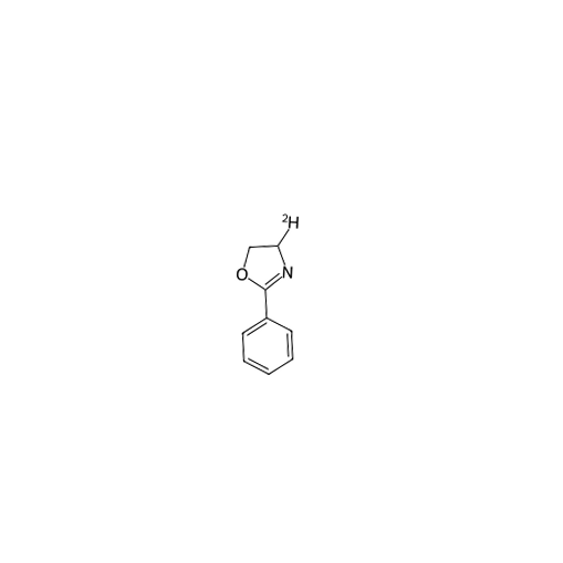 [2H]C1COC(c2ccccc2)=N1